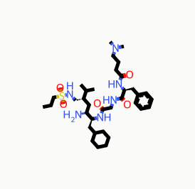 CCCS(=O)(=O)NC[C@@H](C[C@H](N)[C@H](CC1CCCCC1)NC(=O)CNC(=O)[C@H](Cc1ccccc1)NC(=O)CCCN(C)C)C(C)C